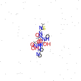 CC(C)c1nc(CN2CCN([C@H](C(=O)N[C@@H](Cc3ccccc3)[C@@H](O)CN(Cc3ccc(-c4ccccn4)cc3)NC(=O)[C@@H](NC(=O)O)C(C)(C)C)C(C)(C)C)C2=O)cs1